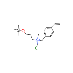 C=Cc1ccc(C[N+](C)(C)CCCO[Si](C)(C)C)cc1.[Cl-]